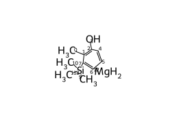 Cc1c(O)cccc1[Si](C)(C)C.[MgH2]